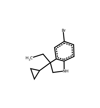 CCC1(C2CC2)CNc2ccc(Br)cc21